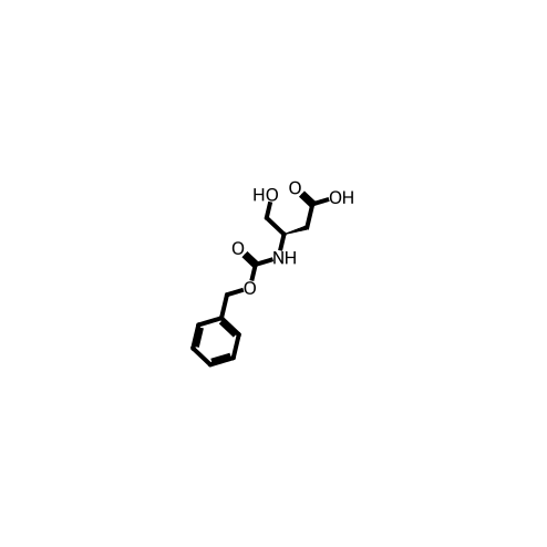 O=C(O)C[C@H](CO)NC(=O)OCc1ccccc1